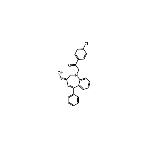 O=C(CN1CC(=NO)N=C(c2ccccc2)c2ccccc21)c1ccc(Cl)cc1